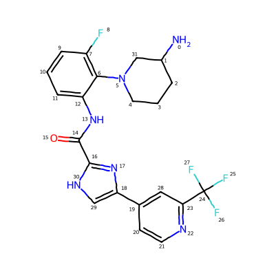 NC1CCCN(c2c(F)cccc2NC(=O)c2nc(-c3ccnc(C(F)(F)F)c3)c[nH]2)C1